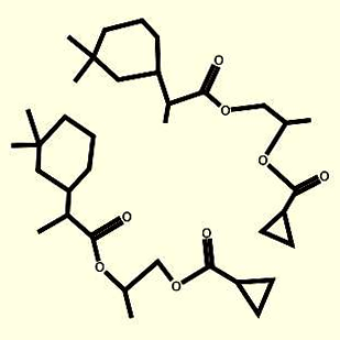 CC(COC(=O)C(C)C1CCCC(C)(C)C1)OC(=O)C1CC1.CC(COC(=O)C1CC1)OC(=O)C(C)C1CCCC(C)(C)C1